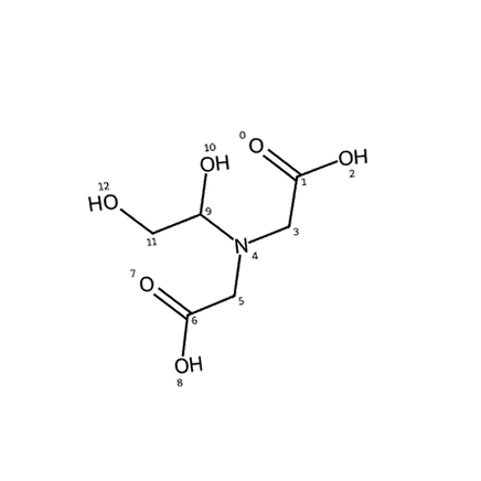 O=C(O)CN(CC(=O)O)C(O)CO